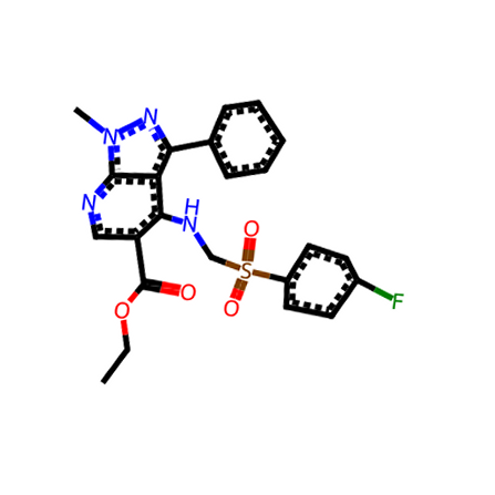 CCOC(=O)c1cnc2c(c(-c3ccccc3)nn2C)c1NCS(=O)(=O)c1ccc(F)cc1